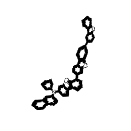 c1ccc(N(c2ccc3ccccc3c2)c2ccc3c(c2)oc2c(-c4ccc5c(c4)oc4cc(-c6ccc7oc8ccccc8c7c6)ccc45)cccc23)cc1